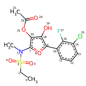 CCS(=O)(=O)N(C)c1oc(-c2cccc(Cl)c2F)c(O)c1OC(C)=O